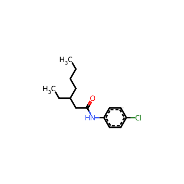 CCCCC(CC)CC(=O)Nc1c[c]c(Cl)cc1